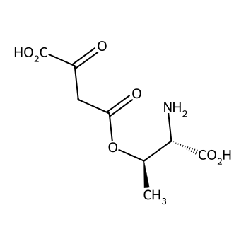 C[C@@H](OC(=O)CC(=O)C(=O)O)[C@H](N)C(=O)O